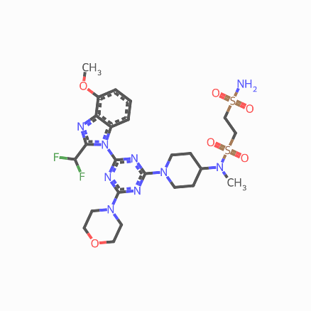 COc1cccc2c1nc(C(F)F)n2-c1nc(N2CCOCC2)nc(N2CCC(N(C)S(=O)(=O)CCS(N)(=O)=O)CC2)n1